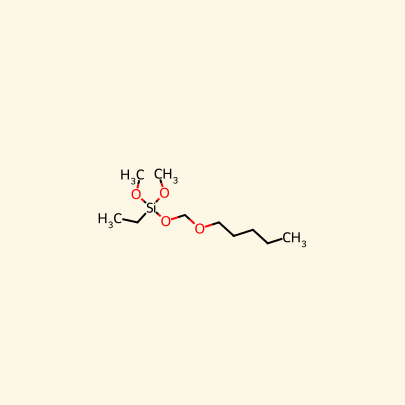 CCCCCOCO[Si](CC)(OC)OC